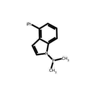 CC(C)c1cccc2c1ccn2P(C)C